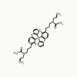 C=CCN(CCCc1ccc(F)[c]([Ti]([C]2=CC=CC2)([C]2=CC=CC2)[c]2c(F)ccc(CCCN(CC=C)C(C)=O)c2F)c1F)C(C)=O